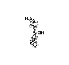 Cc1cc2c(s1)CCCN(CCCCN1CCN(c3nsc4ccccc34)CC1)C2=O.Cl